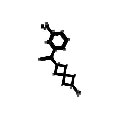 CCN1CC2(C1)CN(C(=O)c1cccc(N)n1)C2